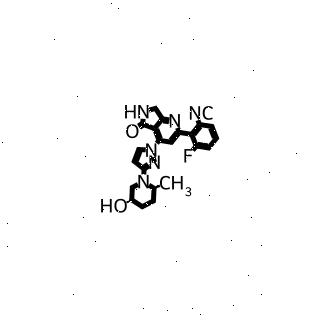 C[C@H]1CC[C@H](O)CN1c1ccn(-c2cc(-c3c(F)cccc3C#N)nc3c2C(=O)NC3)n1